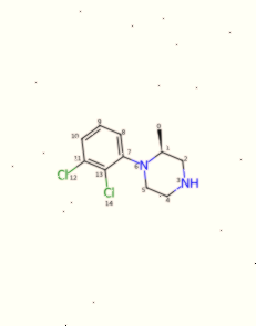 C[C@H]1CNCCN1c1cccc(Cl)c1Cl